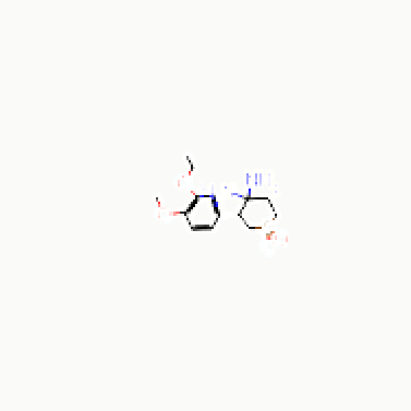 CCOc1cc([C@H]2CS(=O)(=O)CCC2(N)N)ccc1OC